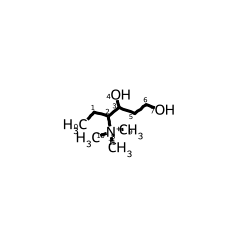 CCC(C(O)CCO)[N+](C)(C)C